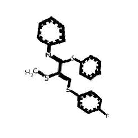 CSC(=CSc1ccc(F)cc1)C(=Nc1ccccc1)Sc1ccccc1